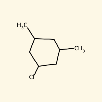 CC1CC(C)CC(Cl)C1